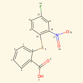 O=C(O)c1ccccc1Sc1ccc(F)cc1[N+](=O)[O-]